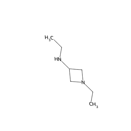 CCNC1CN(CC)C1